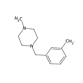 [CH2]c1cccc(CN2CCN(C)CC2)c1